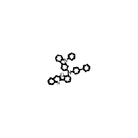 c1ccc(-c2ccc(N(c3ccc4c5ccccc5n(-c5ccccc5)c4c3)c3cccc4c3oc3cc5ccccc5nc34)cc2)cc1